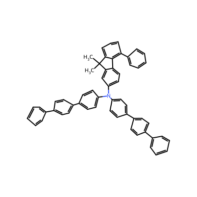 CC1(C)c2cc(N(c3ccc(-c4ccc(-c5ccccc5)cc4)cc3)c3ccc(-c4ccc(-c5ccccc5)cc4)cc3)ccc2-c2c(-c3ccccc3)cccc21